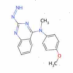 COc1ccc(N(C)c2nc(N=N)nc3ccccc23)cc1